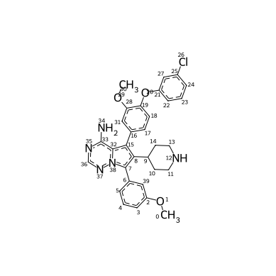 COc1cccc(-c2c(C3CCNCC3)c(-c3ccc(Oc4cccc(Cl)c4)c(OC)c3)c3c(N)ncnn23)c1